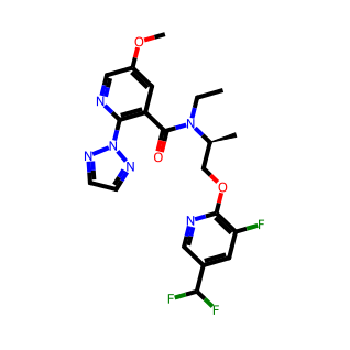 CCN(C(=O)c1cc(OC)cnc1-n1nccn1)[C@@H](C)COc1ncc(C(F)F)cc1F